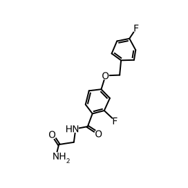 NC(=O)CNC(=O)c1ccc(OCc2ccc(F)cc2)cc1F